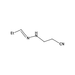 CCC=NNCCC#N